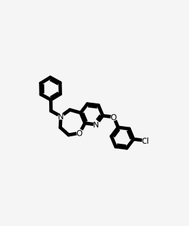 Clc1cccc(Oc2ccc3c(n2)OCCN(Cc2ccccc2)C3)c1